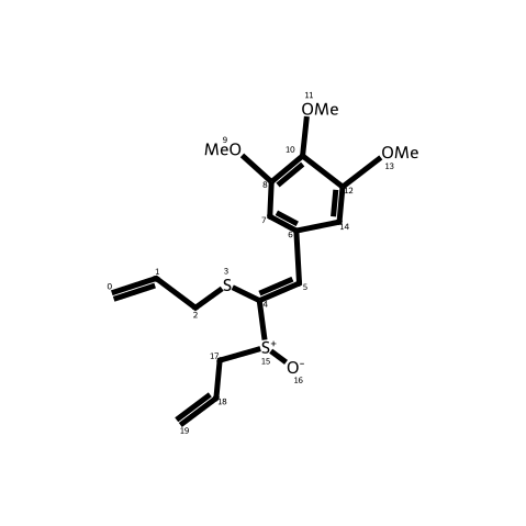 C=CCS/C(=C\c1cc(OC)c(OC)c(OC)c1)[S+]([O-])CC=C